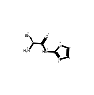 CC(C)(C)[C@H](N)C(=O)Nc1nccs1